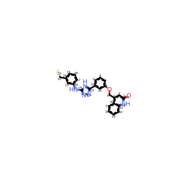 O=c1cc(COc2cccc(-c3nnc(Nc4cccc(CF)c4)[nH]3)c2)c2ccccc2[nH]1